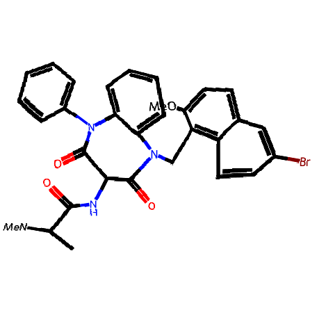 CNC(C)C(=O)NC1C(=O)N(Cc2c(OC)ccc3cc(Br)ccc23)c2ccccc2N(c2ccccc2)C1=O